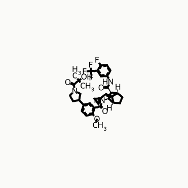 COc1ccc(C2CCN(C(=O)C(C)(C)O)C2)cc1C(=O)N[C@H]1[C@@H](C(=O)Nc2ccc(F)c(C(F)(F)F)c2)[C@H]2CC[C@@H]1/C2=C\C1CC1